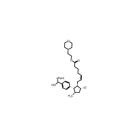 CCCCCC(O)c1ccc([C@@H]2[C@@H](C/C=C\CCCC(=O)OCCN3CCOCC3)[C@H](Cl)C[C@H]2C)cc1